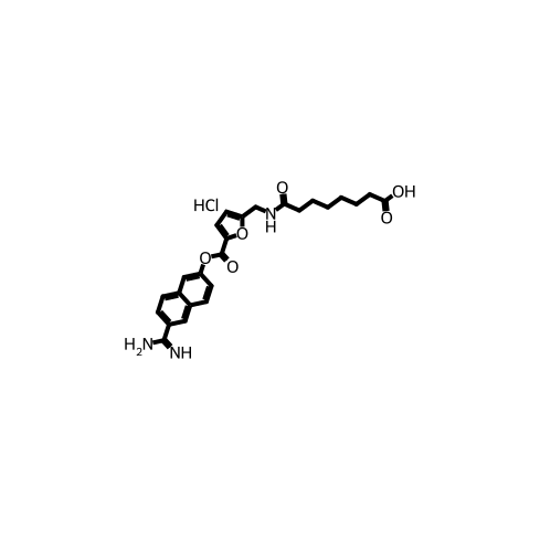 Cl.N=C(N)c1ccc2cc(OC(=O)c3ccc(CNC(=O)CCCCCCC(=O)O)o3)ccc2c1